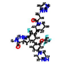 CN(C)C(=O)c1cc2c(-c3ccc(N4CCNCC4)cc3OC(F)(F)F)cc(C3=CCCN(C(=O)CCn4ccnn4)C3)c(F)c2[nH]1